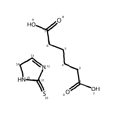 O=C(O)CCCCC(=O)O.S=C1N=CCN1